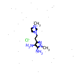 Cn1nc(CCn2cc[n+](C)c2)c(N)c1N.[Cl-]